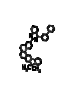 CC1(C)c2ccccc2-c2cc3c(ccc4ccc5cc(-c6nc(-c7cccc(-c8ccccc8)c7)c7ccccc7n6)ccc5c43)cc21